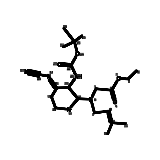 CCOC(=O)CN(CC=C(C)C)C1[N]CCC(=NC#N)C1NC(=O)OC(C)(C)C